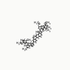 COC[C@H]1CC(c2nc3ccc4cc5c(cc4c3[nH]2)OCc2cc(-c3cnc([C@@H]4C[C@H](C)CN4C[C@@H](NC(=O)OC)C(C)C)[nH]3)ccc2-5)N(C(=O)[C@@H](NC(=O)OC)C(C)C)C1